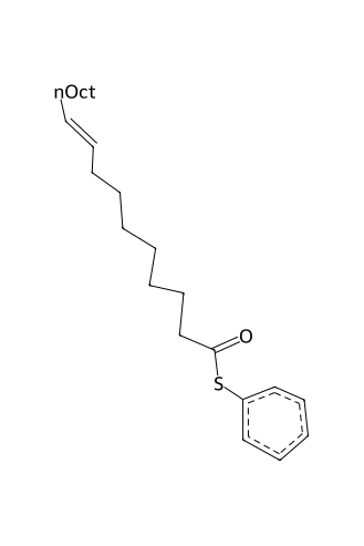 CCCCCCCCC=CCCCCCCCC(=O)Sc1ccccc1